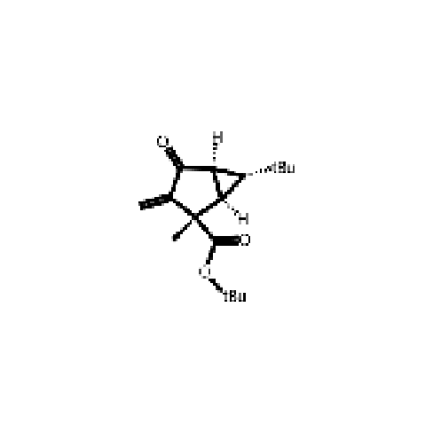 C=C1C(=O)[C@H]2[C@H](C(C)(C)C)[C@H]2[C@]1(C)C(=O)OC(C)(C)C